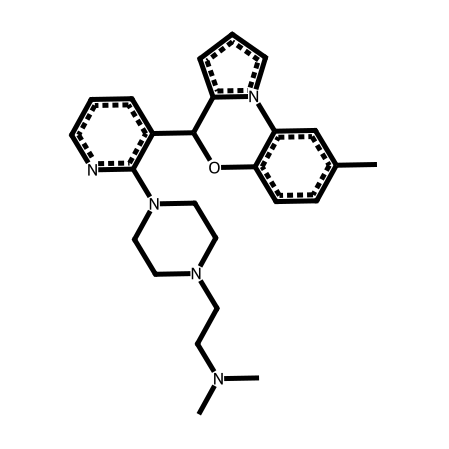 Cc1ccc2c(c1)-n1cccc1C(c1cccnc1N1CCN(CCN(C)C)CC1)O2